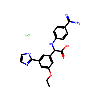 CCOc1cc(-c2ncc[nH]2)cc(C(Nc2ccc(C(=N)N)cc2)C(=O)O)c1.Cl